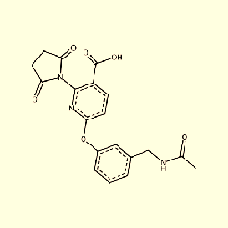 CC(=O)NCc1cccc(Oc2ccc(C(=O)O)c(N3C(=O)CCC3=O)n2)c1